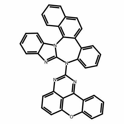 c1ccc2c(c1)Oc1cccc3nc(N4c5ccccc5-c5ccc6ccccc6c5-n5c4nc4ccccc45)nc-2c13